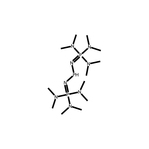 CN(C)P(=NPN=P(N(C)C)(N(C)C)N(C)C)(N(C)C)N(C)C